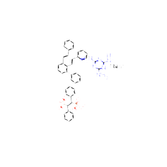 C(=Cc1cccc(-c2ccccc2)c1C=Cc1ccccc1)c1ccccc1.Nc1nc(N)nc(N)n1.O=S(=O)([O-])C(=C(c1ccccc1)S(=O)(=O)[O-])c1ccccc1.[Na+].[Na+]